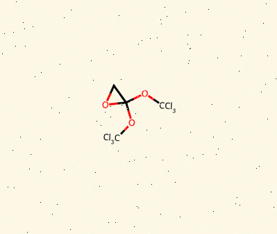 ClC(Cl)(Cl)OC1(OC(Cl)(Cl)Cl)CO1